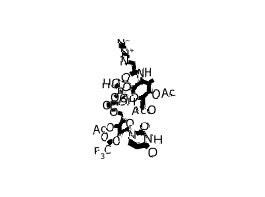 CC(=O)OCC1O[C@H](OP(=O)(O)OP(=O)(O)OC[C@H]2O[C@@H](n3ccc(=O)[nH]c3=O)[C@@H](OC(=O)C(F)(F)F)C2OC(C)=O)[C@@H](NC(=O)CN=[N+]=[N-])C(C)[C@H]1OC(C)=O